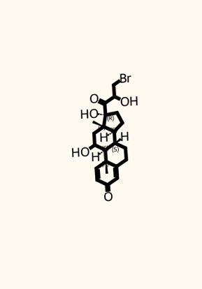 C[C@]12C=CC(=O)C=C1CC[C@@H]1[C@@H]2C(O)C[C@@]2(C)[C@H]1CC[C@]2(O)C(=O)C(O)CBr